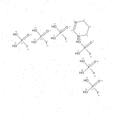 C1=NCCCN1.O=P(O)(O)F.O=P(O)(O)F.O=P(O)(O)F.O=P(O)(O)F.O=P(O)(O)F.O=P(O)(O)F